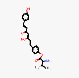 CC(C)C(N)C(=O)Oc1ccc(C=CC(O)=CC(=O)C=Cc2ccc(O)cc2)cc1